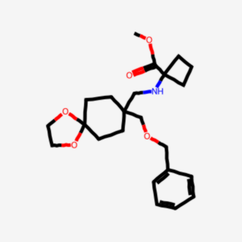 COC(=O)C1(NCC2(COCc3ccccc3)CCC3(CC2)OCCO3)CCC1